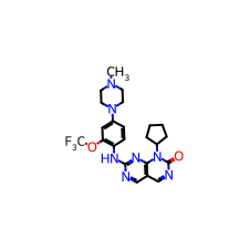 CN1CCN(c2ccc(Nc3ncc4cnc(=O)n(C5CCCC5)c4n3)c(OC(F)(F)F)c2)CC1